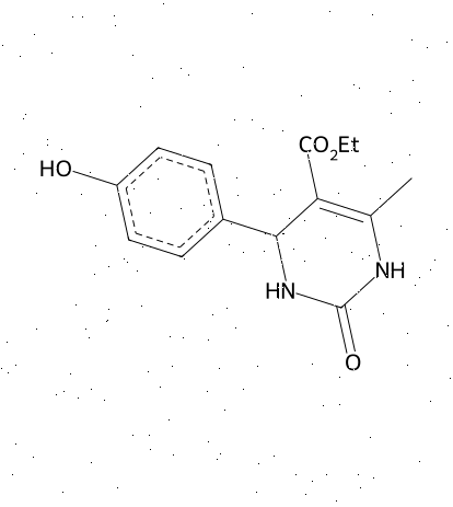 CCOC(=O)C1=C(C)NC(=O)NC1c1ccc(O)cc1